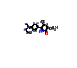 CCc1cc(C(=O)O)c(=O)[nH]c1-c1ccc2c(c1)OCCN2C